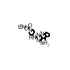 Cc1c2c(nc3nc(NC4CCN(C(=O)OC(C)(C)C)CC4)nc(N)c13)CCC2